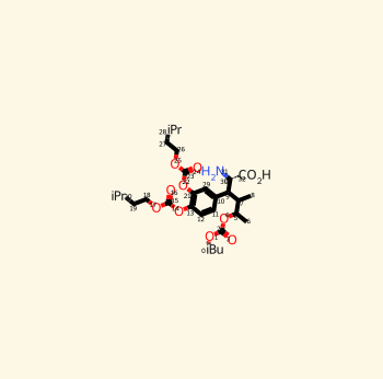 CCC(C)OC(=O)OC(C)C(C)C(c1ccc(OC(=O)OCCC(C)C)c(OC(=O)OCCC(C)C)c1)[C@H](N)C(=O)O